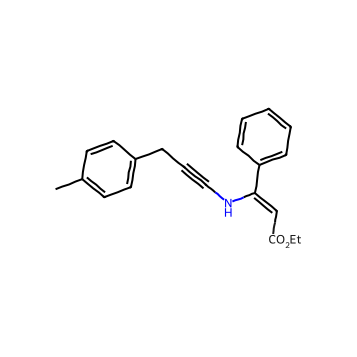 CCOC(=O)/C=C(\NC#CCc1ccc(C)cc1)c1ccccc1